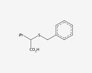 CC(C)C(SCc1ccccc1)C(=O)O